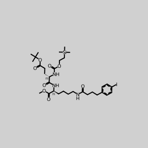 COC(=O)[C@H](CCCCNC(=O)CCCc1ccc(I)cc1)NC(=O)[C@H](CCC(=O)OC(C)(C)C)NC(=O)OCC[Si](C)(C)C